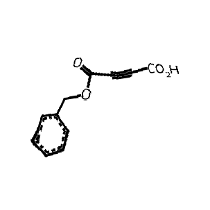 O=C(O)C#CC(=O)OCc1ccccc1